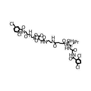 CC(C)C[C@H](NC(=O)CNC(=O)c1cc(Cl)ccc1Cl)B(O)OC(=O)CCC(=O)NCCNC(=O)C[C@H]1OB(CNC(=O)CNC(=O)c2cc(Cl)ccc2Cl)OC1=O